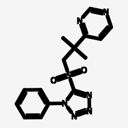 CC(C)(CS(=O)(=O)c1nnnn1-c1ccccc1)c1ccncn1